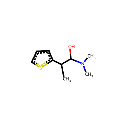 CC(c1cccs1)C(O)N(C)C